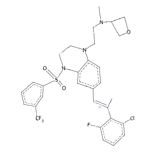 C/C(=C\c1ccc2c(c1)N(S(=O)(=O)c1cccc(C(F)(F)F)c1)CCN2CCN(C)C1COC1)c1c(F)cccc1Cl